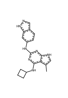 Cc1c[nH]c2nc(Nc3ccc4cn[nH]c4c3)nc(NC3CCC3)c12